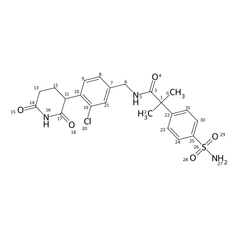 CC(C)(C(=O)NCc1ccc(C2CCC(=O)NC2=O)c(Cl)c1)c1ccc(S(N)(=O)=O)cc1